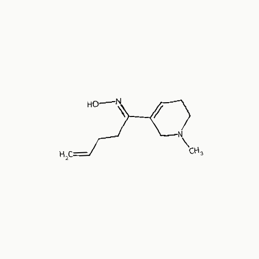 C=CCC/C(=N\O)C1=CCCN(C)C1